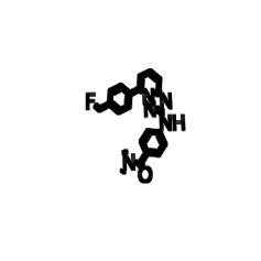 CN(C)C(=O)c1ccc(Nc2nc3cccc(-c4ccc(CF)cc4)n3n2)cc1